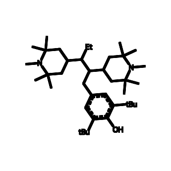 CCC([C](Cc1cc(C(C)(C)C)c(O)c(C(C)(C)C)c1)C1CC(C)(C)N(C)C(C)(C)C1)C1CC(C)(C)N(C)C(C)(C)C1